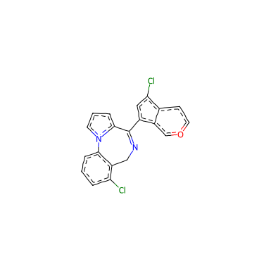 Clc1cc(C2=NCc3c(Cl)cccc3-n3cccc32)c2coccc1-2